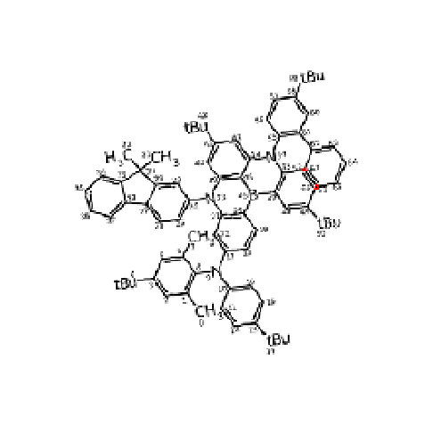 Cc1cc(C(C)(C)C)cc(C)c1N(c1ccc(C(C)(C)C)cc1)c1ccc2c(c1)N(c1ccc3c(c1)C(C)(C)c1ccccc1-3)c1cc(C(C)(C)C)cc3c1B2c1cc(C(C)(C)C)ccc1N3c1ccc(C(C)(C)C)cc1-c1ccccc1